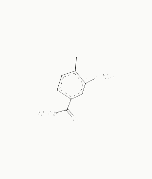 CNC(=O)c1ccc(C)c(OC)c1